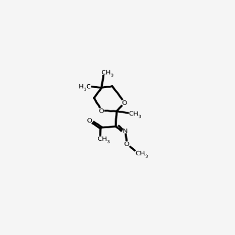 CON=C(C(C)=O)C1(C)OCC(C)(C)CO1